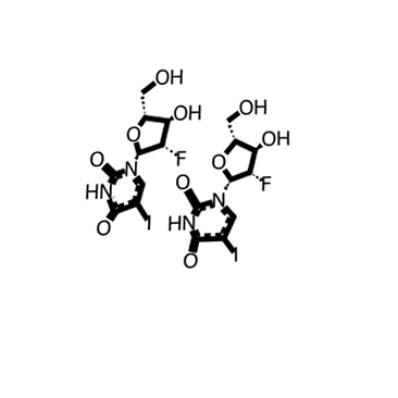 O=c1[nH]c(=O)n([C@@H]2O[C@H](CO)[C@@H](O)[C@@H]2F)cc1I.O=c1[nH]c(=O)n([C@@H]2O[C@H](CO)[C@@H](O)[C@@H]2F)cc1I